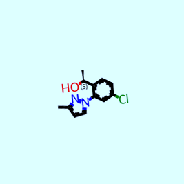 Cc1ccn(-c2cc(Cl)ccc2[C@H](C)O)n1